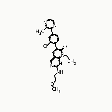 CCn1c(=O)c(-c2ccc(-c3nccnc3C)cc2Cl)cc2cnc(NCCOC)nc21